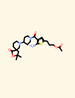 CC(=O)OCCCc1cc(C(=O)N2CCC(N3CCCC4(C3)CC(C)(C)OC4=O)CC2)c(N)s1